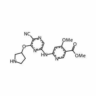 COC(=O)c1cnc(Nc2cnc(C#N)c(OC3CCNC3)n2)cc1OC